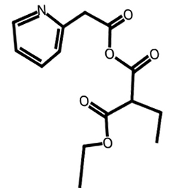 CCOC(=O)C(CC)C(=O)OC(=O)Cc1ccccn1